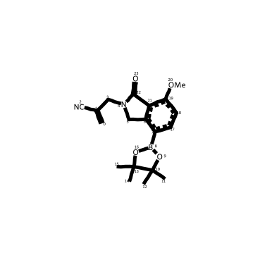 C=C(C#N)CN1Cc2c(B3OC(C)(C)C(C)(C)O3)ccc(OC)c2C1=O